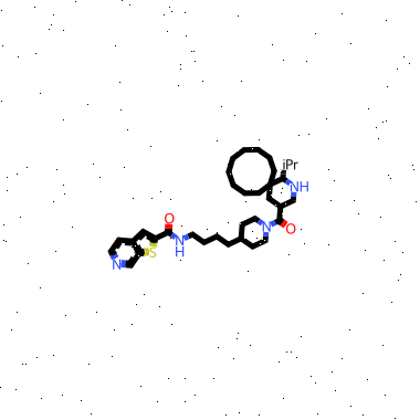 CC(C)C1NCC(C(=O)N2CCC(CCCCNC(=O)c3cc4ccncc4s3)CC2)CC12CCCCCCCCC2